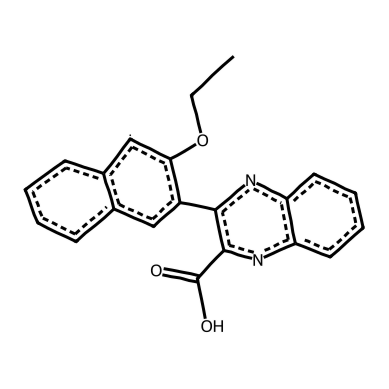 CCOc1[c]c2ccccc2cc1-c1nc2ccccc2nc1C(=O)O